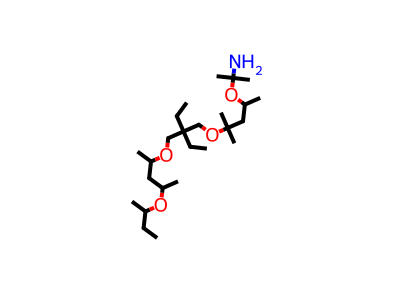 CCC(C)OC(C)CC(C)OCC(CC)(CC)COC(C)(C)CC(C)OC(C)(C)N